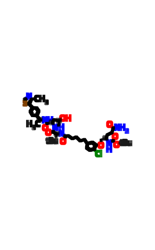 Cc1ncsc1-c1ccc([C@H](C)NC(=O)[C@@H]2C[C@@H](O)CN2C(=O)[C@@H](NC(=O)CCCCCc2ccc(Cl)c(OC[C@H](CCC(N)=O)NC(=O)OC(C)(C)C)c2)C(C)(C)C)cc1